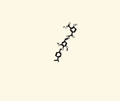 COc1cc(/C=N/NC(=O)c2ccc(O)c(C(N)=O)c2)cc(OC)c1OCc1ccc(C(C)C)cc1